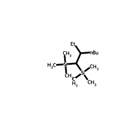 CCCCC(CC)[C]([Si](C)(C)C)[Si](C)(C)C